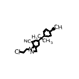 C#Cc1ccc(C(C)(C)c2cc(C#N)c3c(cnn3CCCl)c2)cc1